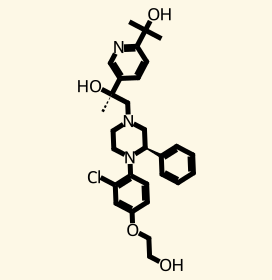 CC(C)(O)c1ccc([C@](C)(O)CN2CCN(c3ccc(OCCO)cc3Cl)[C@H](c3ccccc3)C2)cn1